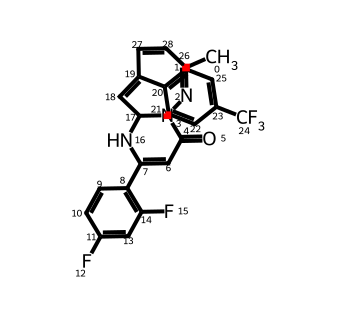 CC1=N/N2C(=O)C=C(c3ccc(F)cc3F)NC2/C=C(c2ccc(C(F)(F)F)cc2)/C=C\1